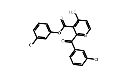 Cc1ccnc(C(=O)c2cccc(Cl)c2)c1C(=O)Oc1cccc(Cl)c1